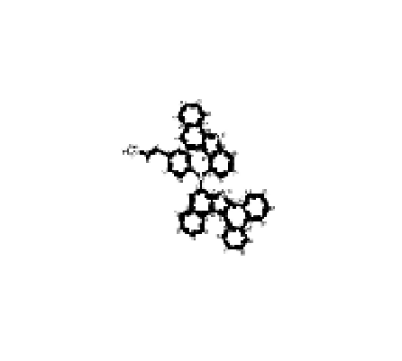 C/C=C/c1ccc(N(c2cc3ccccc3c3c2sc2c4ccccc4c4ccccc4c23)c2cccc3sc4c5ccccc5ccc4c23)cc1